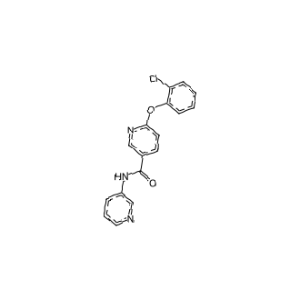 O=C(Nc1cccnc1)c1ccc(Oc2ccccc2Cl)nc1